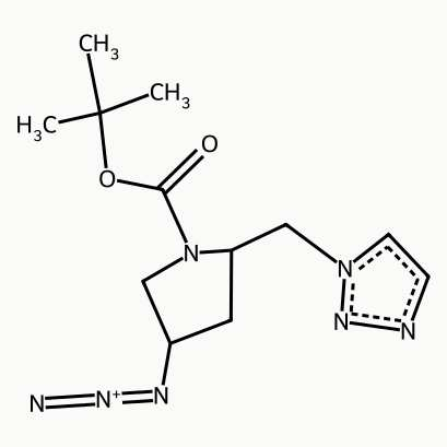 CC(C)(C)OC(=O)N1CC(N=[N+]=[N-])CC1Cn1ccnn1